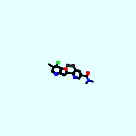 COc1cc(C(=O)N(C)C)cnc1-c1cc2ncc(C)c(Cl)c2o1